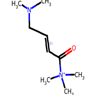 CN(C)C/C=C/C(=O)[N+](C)(C)C